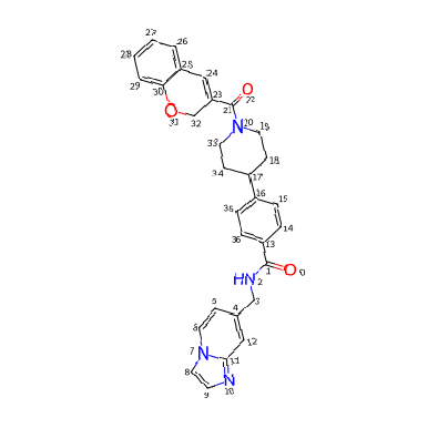 O=C(NCc1ccn2ccnc2c1)c1ccc(C2CCN(C(=O)C3=Cc4ccccc4OC3)CC2)cc1